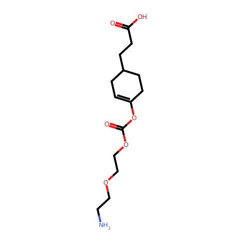 NCCOCCOC(=O)OC1=CCC(CCC(=O)O)CC1